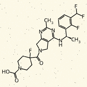 Cc1nc2c(c(N[C@H](C)c3cccc(C(F)F)c3F)n1)CN(C(=O)C1(F)CCN(C(=O)O)CC1)C2